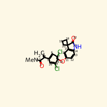 C=C(C(=O)NC)c1cc(Cl)c(Oc2ccc3c(c2)C2(CCC2)C(=O)N3)c(Cl)c1